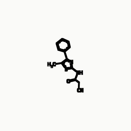 Cc1sc(NC(=O)CC#N)nc1-c1ccccc1